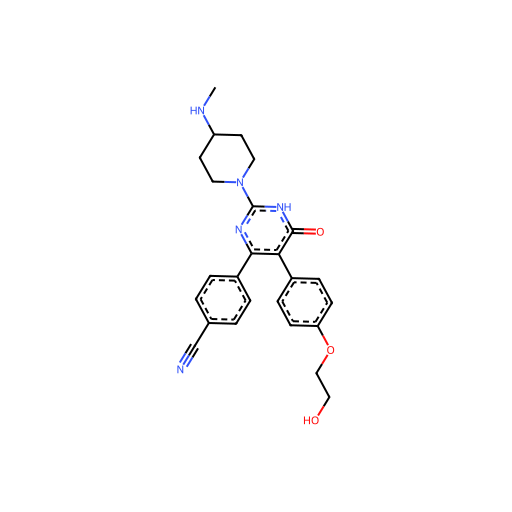 CNC1CCN(c2nc(-c3ccc(C#N)cc3)c(-c3ccc(OCCO)cc3)c(=O)[nH]2)CC1